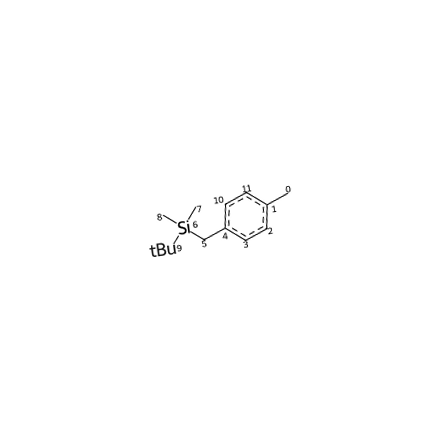 Cc1ccc(C[Si](C)(C)C(C)(C)C)cc1